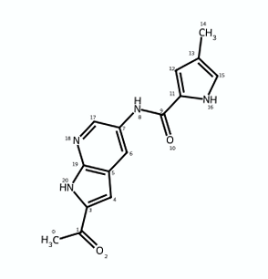 CC(=O)c1cc2cc(NC(=O)c3cc(C)c[nH]3)cnc2[nH]1